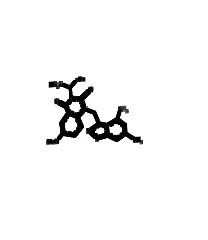 CCCCC(C(=O)O)n1c(=O)c2cc(OC)ccc2n(Cc2nsc3cc(C)cc(C)c23)c1=O